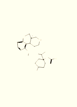 CC1CCC(OC(N)=O)(C(C)C)CC1.COc1cccc2c1[C@@H]1CCNC[C@H]1CO2